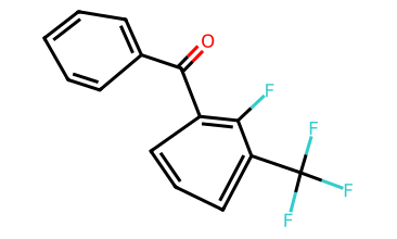 O=C(c1ccccc1)c1cccc(C(F)(F)F)c1F